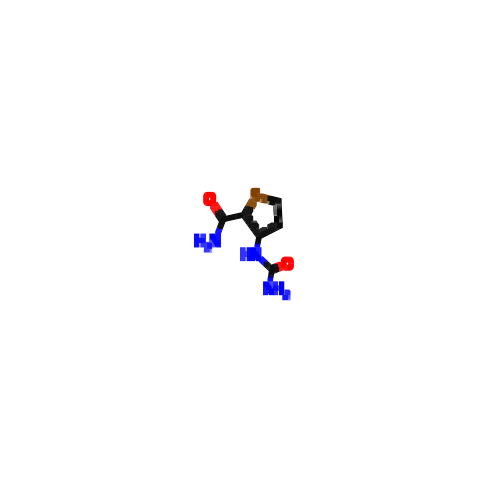 NC(=O)Nc1ccsc1C(N)=O